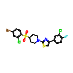 O=S(=O)(c1ccc(Br)cc1Cl)C1CCN(c2nc(-c3ccc(F)c(Cl)c3)cs2)CC1